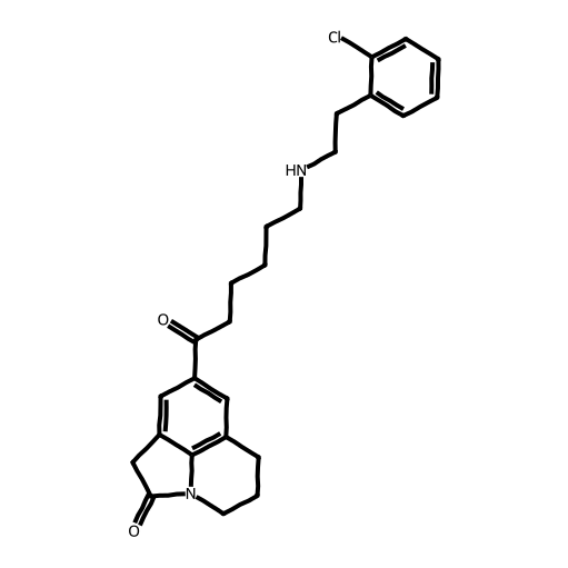 O=C(CCCCCNCCc1ccccc1Cl)c1cc2c3c(c1)CC(=O)N3CCC2